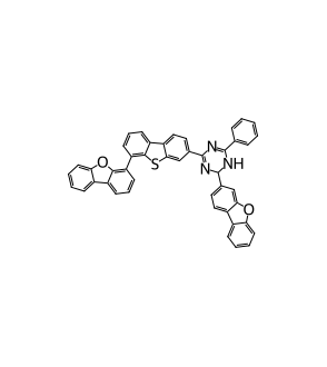 c1ccc(C2=NC(c3ccc4c(c3)sc3c(-c5cccc6c5oc5ccccc56)cccc34)=NC(c3ccc4c(c3)oc3ccccc34)N2)cc1